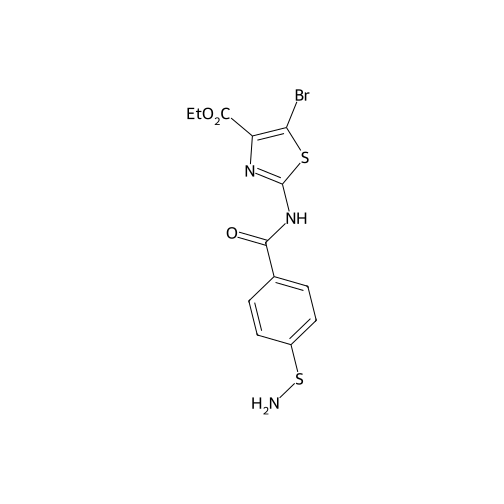 CCOC(=O)c1nc(NC(=O)c2ccc(SN)cc2)sc1Br